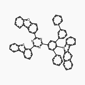 c1ccc(-c2cccc(-c3cc(-c4nc(-c5ccc6oc7ccccc7c6c5)nc(-c5cccc6c5sc5ccccc56)n4)cc(-c4ccccc4)c3-n3c4ccccc4c4cc5ccccc5cc43)c2)cc1